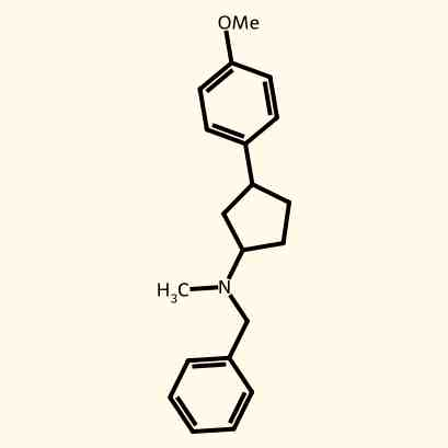 COc1ccc(C2CCC(N(C)Cc3ccccc3)C2)cc1